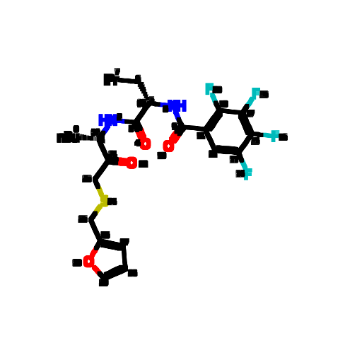 CCCC[C@H](NC(=O)[C@H](CC(C)C)NC(=O)c1cc(F)c(F)c(F)c1F)C(=O)CSCc1ccco1